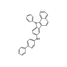 c1ccc(-c2ccc(Nc3ccc4c(c3)c3ccc5ccccc5c3n4-c3ccccc3)cc2)cc1